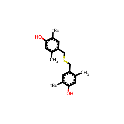 Cc1cc(O)c(C(C)(C)C)cc1CSCc1cc(C(C)(C)C)c(O)cc1C